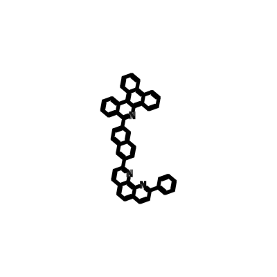 c1ccc(-c2ccc3ccc4ccc(-c5ccc6cc(-c7nc8c9ccccc9c9ccccc9c8c8ccccc78)ccc6c5)nc4c3n2)cc1